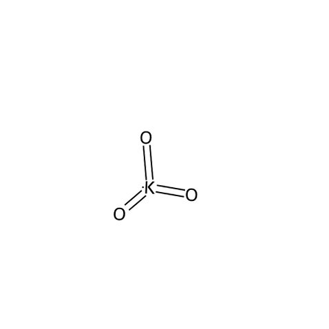 [O]=[K](=[O])=[O]